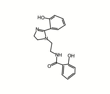 O=C(NCCN1CCN=C1c1ccccc1O)c1ccccc1O